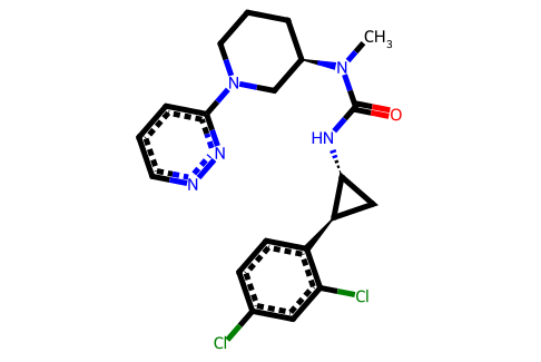 CN(C(=O)N[C@@H]1C[C@H]1c1ccc(Cl)cc1Cl)[C@@H]1CCCN(c2cccnn2)C1